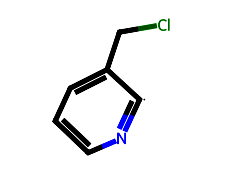 ClCc1[c]nccc1